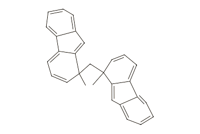 CC1(CC2(C)C=CC=C3C2=Cc2ccccc23)C=CC=C2C1=Cc1ccccc12